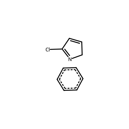 ClC1=NCC=C1.c1ccccc1